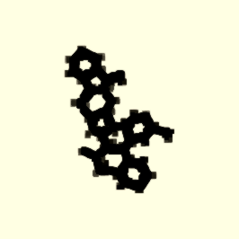 Cc1nc(CN(C)C)n(-c2ccc(Br)cc2C(=O)c2ccccc2Cl)c1CN1C(=O)c2ccccc2C1=O